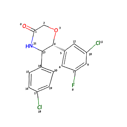 O=C1CO[C@H](c2cc(F)cc(Cl)c2)C(c2ccc(Cl)cc2)N1